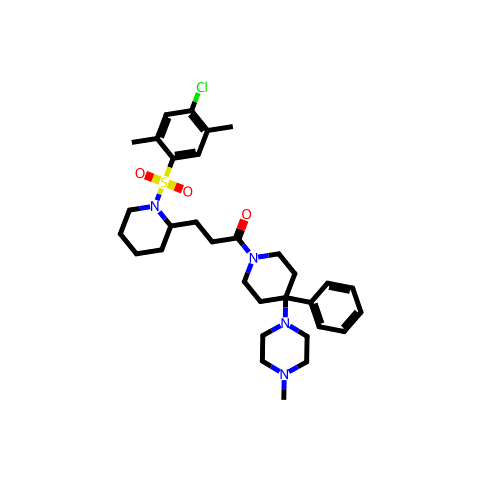 Cc1cc(S(=O)(=O)N2CCCCC2CCC(=O)N2CCC(c3ccccc3)(N3CCN(C)CC3)CC2)c(C)cc1Cl